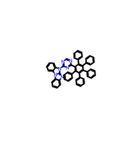 c1ccc(-c2c(-c3ccccc3)c(-c3ccccc3)c(-c3ncnc(-n4c5ccccc5n5c6ccccc6nc45)n3)c(-c3ccccc3)c2-c2ccccc2)cc1